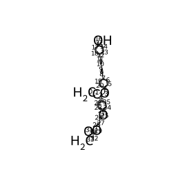 C=C=C(Oc1ccc(C#CC#Cc2ccc(O)cc2)cc1)c1ccc(OCCCOC(=O)C=C)cc1